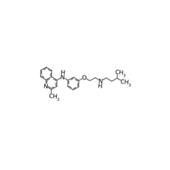 Cc1cc(Nc2cccc(OCCNCCC(C)C)c2)c2ccccc2n1